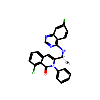 C[C@@H](Nc1ncnc2cc(F)ccc12)c1cc2cccc(Cl)c2c(=O)n1-c1ccccc1